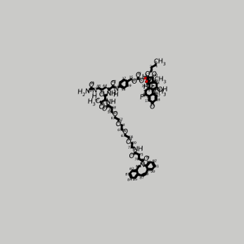 CCCC1O[C@@H]2CC3[C@@H]4C[C@H](F)C5=CC(=O)C=C[C@]5(C)[C@@]4(F)[C@@H](O)C[C@]3(C)[C@]2(C(=O)COC(=O)OCc2ccc(NC(=O)[C@H](CCCNC(N)=O)NC(=O)[C@@H](NC(=O)CCOCCOCCOCCOCCNC(=O)CCC(=O)N3Cc4ccccc4C#Cc4ccccc43)C(C)C)cc2)O1